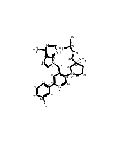 Nc1ncnc2c1ncn2Cc1cc(-c2cccc(F)c2)ncc1N1CCC[C@](N)(COC(F)F)C1